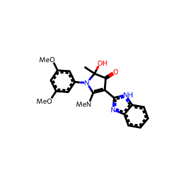 CNC1=C(c2nc3ccccc3[nH]2)C(=O)C(C)(O)N1c1cc(OC)cc(OC)c1